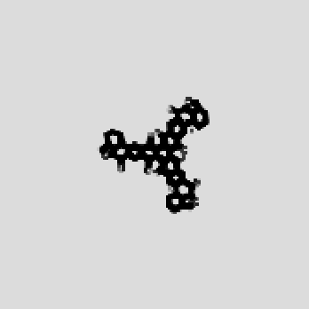 C[C@@]12CCCc3coc(c31)C(=O)c1cc3c(=O)c4c(c(=O)c3cc12)c1c(=O)c2cc3c(cc2c(=O)c1c1c(=O)c2cc5c(cc2c(=O)c41)[C@]1(C)CCCc2coc(c21)C5=O)[C@]1(C)CCCc2coc(c21)C3=O